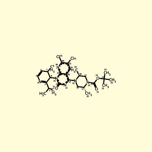 CC(C)C1=NC=CC(C)C1n1c(=O)nc(N2C[C@@H](C)N(C(=O)OC(C)(C)C)C[C@@H]2C)c2cc(Cl)c(Cl)nc21